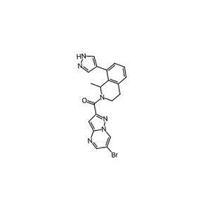 CC1c2c(cccc2-c2cn[nH]c2)CCN1C(=O)c1cc2ncc(Br)cn2n1